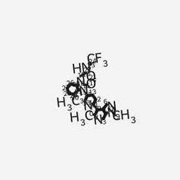 Cc1ncc2c(cnn2C)c1-c1ccc(-n2c(=O)n(CC(=O)NCC(F)(F)F)c3cccc(C)c32)cn1